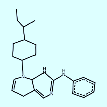 CCC(C)C1CCC(N2C=CCC3=CN=C(Nc4ccccc4)NC32)CC1